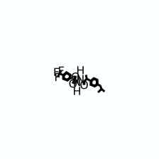 CC(C)Cc1ccc(C(C)C(=O)NNS(=O)(=O)c2ccc(C(F)(F)F)cc2)cc1